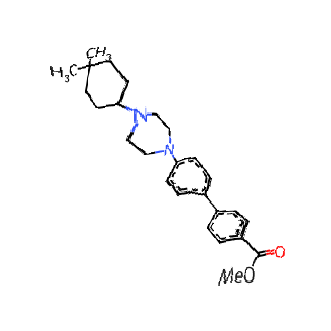 COC(=O)c1ccc(-c2ccc(N3CCN(C4CCC(C)(C)CC4)CC3)cc2)cc1